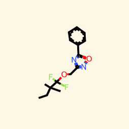 CCC(C)(C)C(F)(F)OCc1noc(-c2ccccc2)n1